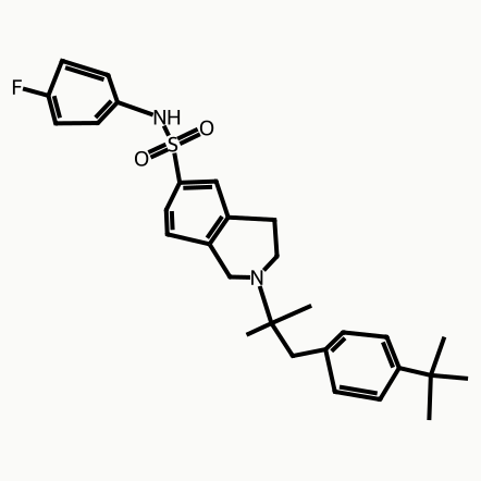 CC(C)(C)c1ccc(CC(C)(C)N2CCc3cc(S(=O)(=O)Nc4ccc(F)cc4)ccc3C2)cc1